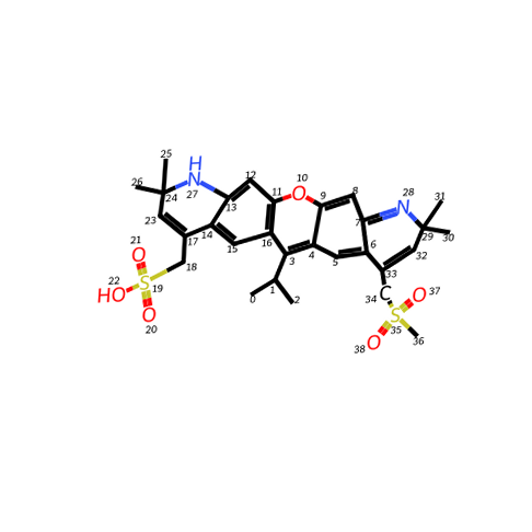 CC(C)C1=c2cc3c(cc2Oc2cc4c(cc21)C(CS(=O)(=O)O)=CC(C)(C)N4)=NC(C)(C)C=C3CS(C)(=O)=O